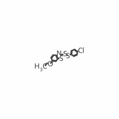 CCOc1ccc2nc(SSc3ccc(Cl)cc3)sc2c1